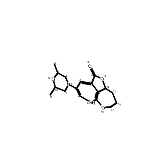 CC1CN(C2=CNC3=C4C(=C2)C(=O)OC4CCCO3)CC(C)O1